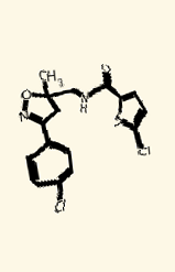 CC1(CNC(=O)c2ccc(Cl)s2)CC(c2ccc(Cl)cc2)=NO1